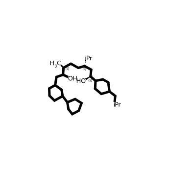 CC(C)CC1CCC([C@@H](O)C[C@H](CC[C@H](C)C(O)CC2CCCC(C3CCCCC3)C2)C(C)C)CC1